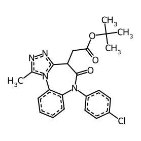 Cc1nnc2n1-c1ccccc1N(c1ccc(Cl)cc1)C(=O)C2CC(=O)OC(C)(C)C